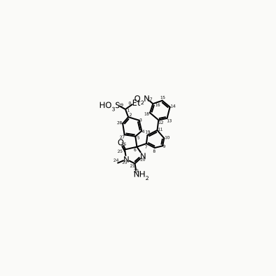 CCC(c1ccc(C2(c3cccc(-c4cccc([N+](=O)[O-])c4)c3)N=C(N)N(C)C2=O)cc1)S(=O)(=O)O